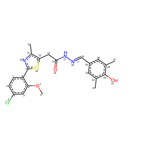 COc1cc(Cl)ccc1-c1nc(C)c(CC(=O)N/N=C/c2cc(C)c(O)c(C)c2)s1